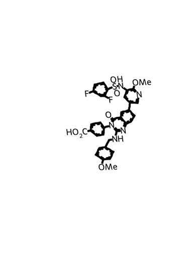 COc1ccc(CNc2nc3ccc(-c4cnc(OC)c(NS(=O)(=O)c5ccc(F)cc5F)c4)cc3c(=O)n2-c2ccc(C(=O)O)cc2)cc1